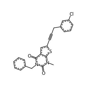 Cn1c(=O)n(Cc2ccccc2)c(=O)c2cc(C#CCc3cccc(Cl)c3)sc21